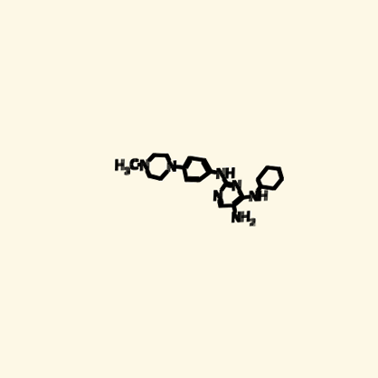 CN1CCN(c2ccc(Nc3ncc(N)c(NC4CCCCC4)n3)cc2)CC1